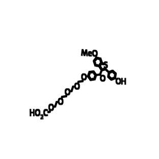 COc1ccc2c(C(=O)c3ccc(OCCOCCOCCOCCOCC(=O)O)cc3)c(-c3ccc(O)cc3)sc2c1